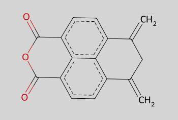 C=C1CC(=C)c2ccc3c4c(ccc1c24)C(=O)OC3=O